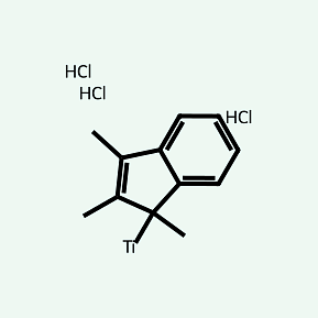 CC1=C(C)[C](C)([Ti])c2ccccc21.Cl.Cl.Cl